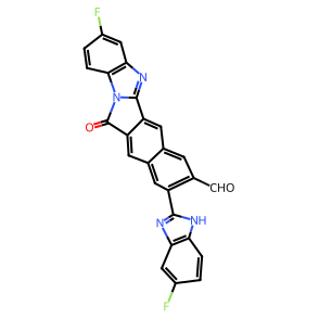 O=Cc1cc2cc3c(cc2cc1-c1nc2cc(F)ccc2[nH]1)C(=O)n1c-3nc2cc(F)ccc21